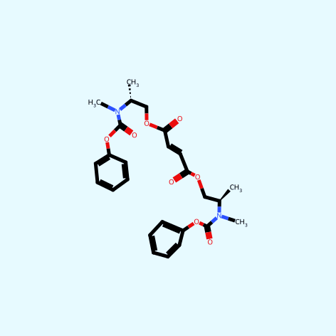 C[C@H](COC(=O)/C=C/C(=O)OC[C@@H](C)N(C)C(=O)Oc1ccccc1)N(C)C(=O)Oc1ccccc1